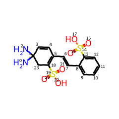 NC1(N)C=CC(C=Cc2ccccc2S(=O)(=O)O)=C(S(=O)(=O)O)C1